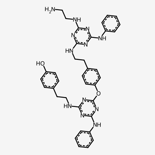 NCCNc1nc(NCCc2ccc(Oc3nc(NCCc4ccc(O)cc4)nc(Nc4ccccc4)n3)cc2)nc(Nc2ccccc2)n1